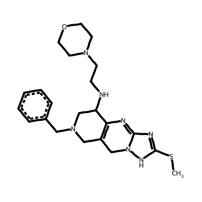 CSC1=NC2=NC3=C(CN(Cc4ccccc4)CC3NCCN3CCOCC3)CN2N1